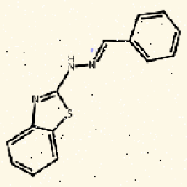 C(=N\Nc1nc2ccccc2s1)/c1ccccc1